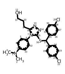 CN(C)c1ccc(-n2c(CCCO)nnc2SC(c2ccc(Cl)cc2)c2ccc(Cl)cc2)cc1